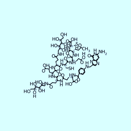 CC(=O)CC[C@H](NC(=O)[C@H](CCC(=O)O)NC(=O)[C@H](CS)NC(=O)[C@H](CCC(=O)NC[C@H](O)[C@@H](O)[C@H](O)[C@H](O)CO)NC(=O)[C@H](CCC(=O)O)NC(=O)[C@H](CCC(=O)NC[C@H](O)[C@@H](O)[C@H](O)[C@H](O)CO)NC(=O)CC[C@H](NC(=O)c1ccc(NCc2cnc3cc(N)[nH]c(=O)c3n2)cc1)C(=O)O)C(=O)N[C@@H](CS)C(=O)O